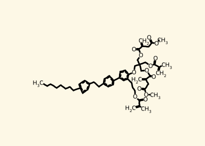 C=C(C)C(=O)OCCCc1cc(-c2ccc(CCc3ccc(CCCCCCCC)cc3)cc2)ccc1OCC(COC(=O)C(=C)C)(COC(=O)C(=C)CC(=O)OC)COC(=O)C(=C)CC(=O)OC